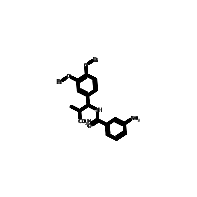 CCOc1ccc(C(NC(=O)c2cccc(N)c2)C(C)C(=O)O)cc1OCC